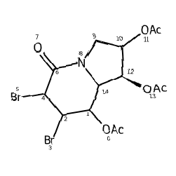 CC(=O)OC1C(Br)C(Br)C(=O)N2CC(OC(C)=O)[C@@H](OC(C)=O)C12